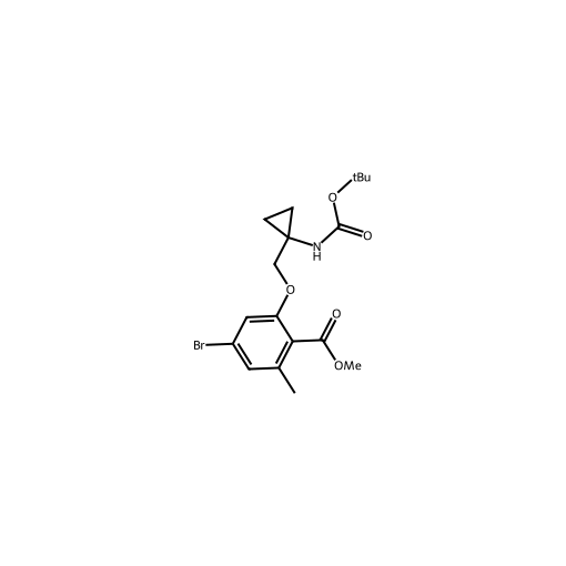 COC(=O)c1c(C)cc(Br)cc1OCC1(NC(=O)OC(C)(C)C)CC1